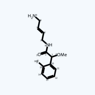 COC(C(=O)NC/C=C/CN)c1ccccc1F